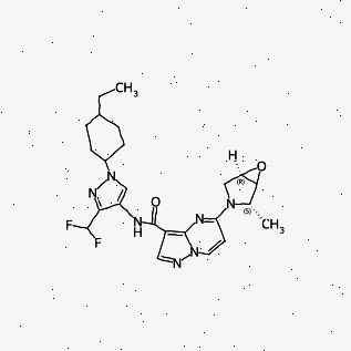 CCC1CCC(n2cc(NC(=O)c3cnn4ccc(N5C[C@H]6OC6[C@@H]5C)nc34)c(C(F)F)n2)CC1